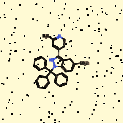 CCOC(=O)C1=CC=C2C(=C(c3ccnc(C)c3)NN2C(c2ccccc2)(c2ccccc2)c2ccccc2)C1